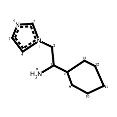 NC(Cn1ccnc1)C1CCCCC1